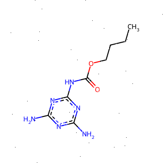 CCCCOC(=O)Nc1nc(N)nc(N)n1